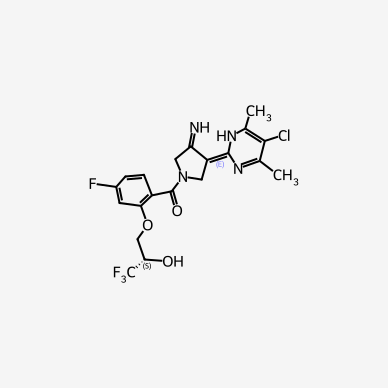 CC1=N/C(=C2\CN(C(=O)c3ccc(F)cc3OC[C@H](O)C(F)(F)F)CC2=N)NC(C)=C1Cl